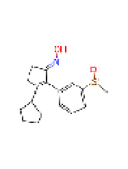 C[S+]([O-])c1cccc(C2=C(C3CCCC3)CCC2=NO)c1